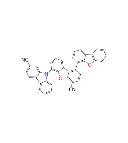 N#Cc1ccc2c3ccccc3n(-c3cccc4c3oc3c(C#N)ccc(-c5cccc6c7c(oc56)CCC=C7)c34)c2c1